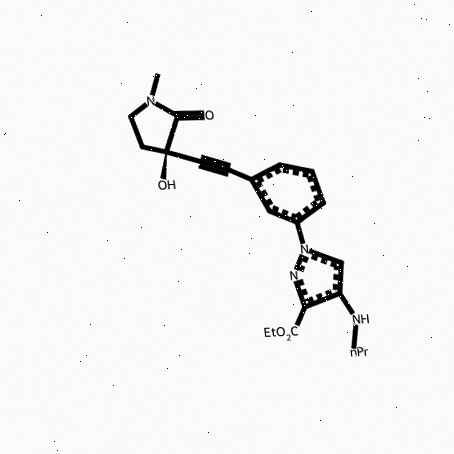 CCCNc1cn(-c2cccc(C#C[C@]3(O)CCN(C)C3=O)c2)nc1C(=O)OCC